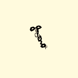 O=C(COc1ccccc1-c1ccccc1)N1CCC(CCc2ccc(F)cc2)CC1